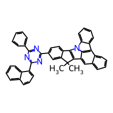 CC1(C)c2cc(-c3nc(-c4ccccc4)nc(-c4cccc5ccccc45)n3)ccc2-c2c1c1cc3ccccc3c3c4ccccc4n2c13